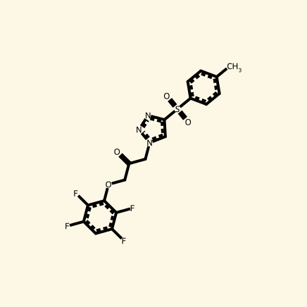 Cc1ccc(S(=O)(=O)c2cn(CC(=O)COc3c(F)c(F)cc(F)c3F)nn2)cc1